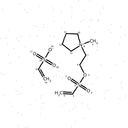 C=CS(=O)(=O)OCC[N+]1(C)CCCC1.C=CS(=O)(=O)[O-]